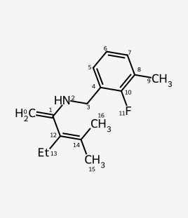 C=C(NCc1cccc(C)c1F)C(CC)=C(C)C